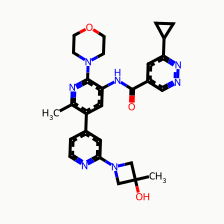 Cc1nc(N2CCOCC2)c(NC(=O)c2cnnc(C3CC3)c2)cc1-c1ccnc(N2CC(C)(O)C2)c1